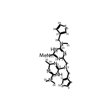 CNC1=NC(CN(Cc2ccsc2)C2=NC(C)N=C(N(C)C)N2)N=C(N(C)Cc2ccsc2)N1